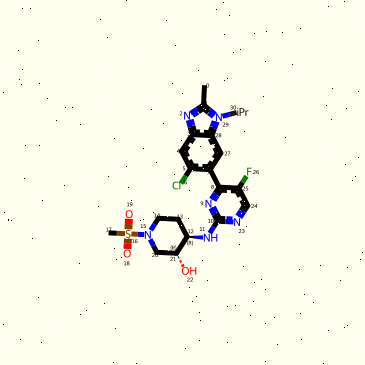 Cc1nc2cc(Cl)c(-c3nc(N[C@@H]4CCN(S(C)(=O)=O)C[C@H]4O)ncc3F)cc2n1C(C)C